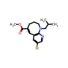 COC(=O)/C1=C/c2cc(Br)cnc2N(CC(C)C)CCC1